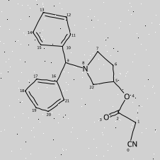 N#CCC(=O)OC1CCN(C(c2ccccc2)c2ccccc2)C1